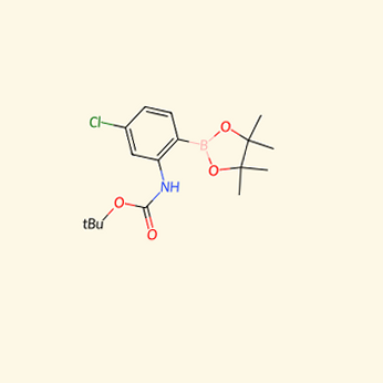 CC(C)(C)OC(=O)Nc1cc(Cl)ccc1B1OC(C)(C)C(C)(C)O1